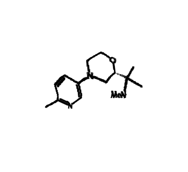 CNC(C)(C)[C@@H]1CN(c2ccc(C)nc2)CCO1